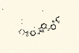 C=CC(=O)Nc1cccc(Oc2cccc3nc(Nc4ccc(S(=O)(=O)N5CCCCC5)cc4)nn23)c1